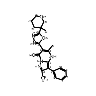 Cc1[nH]c2c(-c3ccccc3)c(C(F)(F)F)nn2c(=O)c1-c1nnc(C2(C)CCCOC2)o1